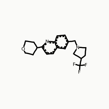 FC(F)(F)C1CCN(Cc2ccc3nc(C4CCOCC4)ccc3c2)C1